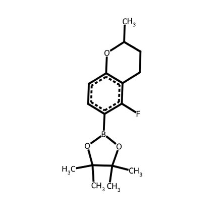 CC1CCc2c(ccc(B3OC(C)(C)C(C)(C)O3)c2F)O1